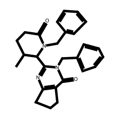 CC1CCC(=O)N(Cc2ccccc2)C1c1nc2c(c(=O)n1Cc1ccccc1)CCC2